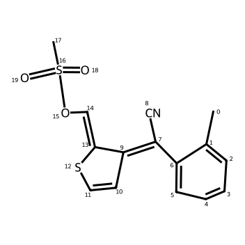 Cc1ccccc1/C(C#N)=c1\ccs\c1=C/OS(C)(=O)=O